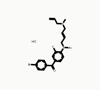 C=CCN(C)CC=CCN(C(C)=O)c1ccc(C(=O)c2ccc(Br)cc2)cc1F.Cl